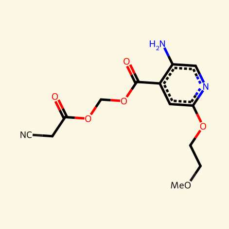 COCCOc1cc(C(=O)OCOC(=O)CC#N)c(N)cn1